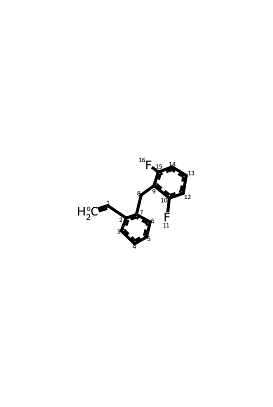 C=Cc1ccccc1Cc1c(F)cccc1F